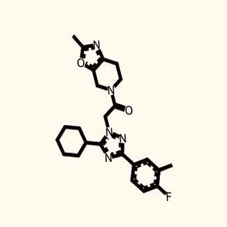 Cc1nc2c(o1)CN(C(=O)Cn1nc(-c3ccc(F)c(C)c3)nc1C1CCCCC1)CC2